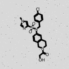 Cn1cnc(S(=O)(=O)N(Cc2ccc(Cl)cc2)c2ccc3c(c2)CCN(C(=O)CO)C3)c1